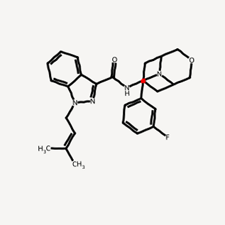 CC(C)=CCn1nc(C(=O)NC2CC3COCC(C2)N3Cc2cccc(F)c2)c2ccccc21